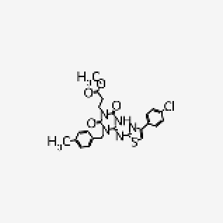 COC(=O)CCn1c(=O)[nH]/c(=N\c2nc(-c3ccc(Cl)cc3)cs2)n(Cc2ccc(C)cc2)c1=O